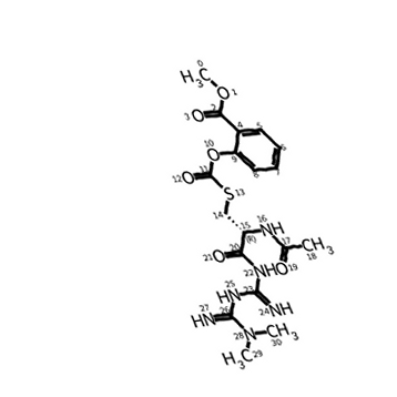 COC(=O)c1ccccc1OC(=O)SC[C@H](NC(C)=O)C(=O)NC(=N)NC(=N)N(C)C